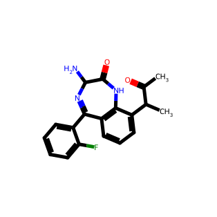 CC(=O)C(C)c1cccc2c1NC(=O)C(N)N=C2c1ccccc1F